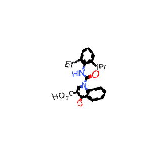 CCc1cccc(C(C)C)c1NC(=O)n1cc(C(=O)O)c(=O)c2ccccc21